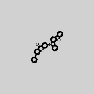 O=c1c2ccc(-c3ccccc3)cc2oc2cc(-n3c4ccccc4c4c5oc6ccccc6c5ccc43)ccc12